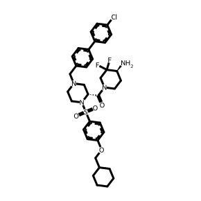 N[C@H]1CCN(C(=O)[C@H]2CN(Cc3ccc(-c4ccc(Cl)cc4)cc3)CCN2S(=O)(=O)c2ccc(OCC3CCCCC3)cc2)CC1(F)F